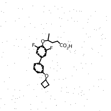 CC(CCC(=O)O)Oc1c(F)cc(-c2cccc(OC3CCC3)c2)cc1F